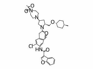 CS(=O)(=O)N1CCN([C@H]2C[C@@H](CO[C@H]3CC[C@H](C)CC3)N(C(=O)Cc3cc(Cl)c(NC(=O)c4coc5ccccc45)cc3F)C2)CC1